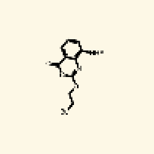 CCC(C)CCOc1nc2c(NC(C)=O)cccc2c(=O)o1